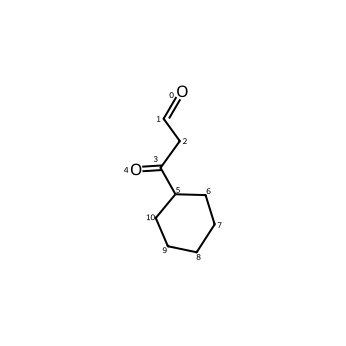 O=CCC(=O)C1CCCCC1